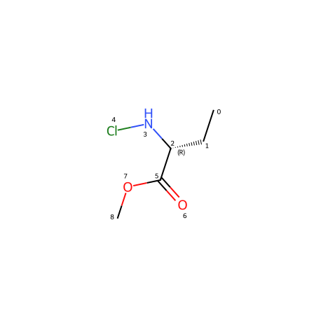 CC[C@@H](NCl)C(=O)OC